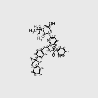 CC(C)(C)OC(=O)N(CC(=O)O)c1cccc(C(Cc2ccc(C3(Cc4ccccc4)CC3)cc2)NS(=O)(=O)c2ccccn2)n1